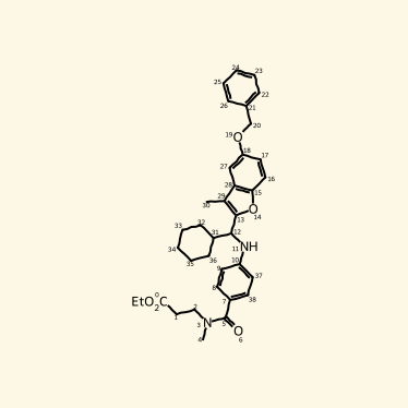 CCOC(=O)CCN(C)C(=O)c1ccc(NC(c2oc3ccc(OCc4ccccc4)cc3c2C)C2CCCCC2)cc1